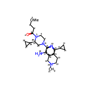 COCCC(=O)N1CCN(c2nc(C3CC3)c3c(c2N)CN(C)CC3)C[C@H]1C1CC1